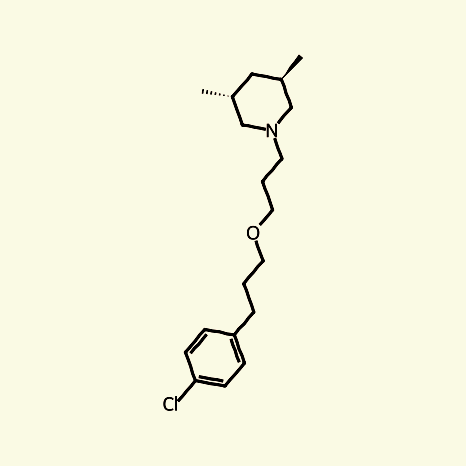 C[C@@H]1C[C@@H](C)CN(CCCOCCCc2ccc(Cl)cc2)C1